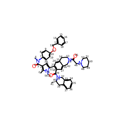 Cc1c(C(=O)N(C)c2ccc(OCc3ccccc3)cc2)cc(-c2cc3c(cc2C(=O)N2Cc4ccccc4C[C@H]2C)CN(C(=O)CN2CCCCC2)CC3)n1C